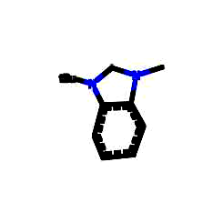 CN1[CH]N(C(C)(C)C)c2ccccc21